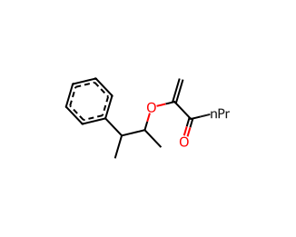 C=C(OC(C)C(C)c1ccccc1)C(=O)CCC